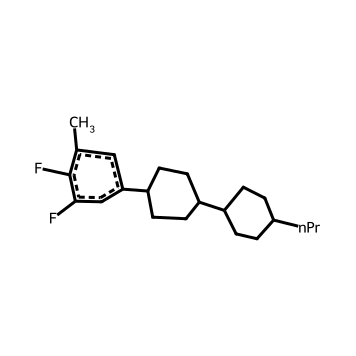 CCCC1CCC(C2CCC(c3cc(C)c(F)c(F)c3)CC2)CC1